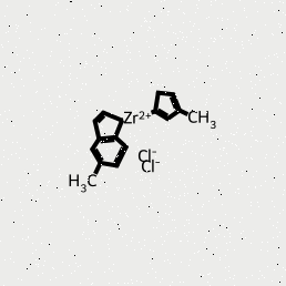 CC1=CC[C]([Zr+2][CH]2C=Cc3cc(C)ccc32)=C1.[Cl-].[Cl-]